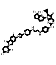 CC[C@@]1(O)CCc2ccc(-n3c(C4CC4)c(F)c4cnc(Nc5ccc(NCCNC6CCN(C7CN(c8cc9c(cc8F)C(=O)N(C8CCC(=O)NC8=O)C9)C7)CC6)cc5)nc43)nc21